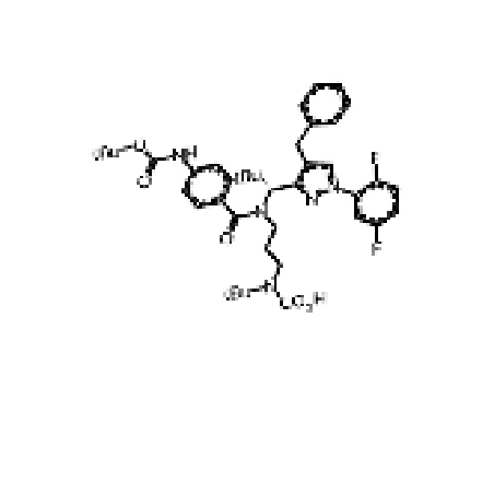 CC(C)(C)OC(=O)Nc1ccc(C(=O)N(CCCN(C(=O)O)C(C)(C)C)[C@@H](c2nn(-c3cc(F)ccc3F)cc2Cc2ccccc2)C(C)(C)C)cc1